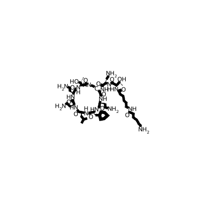 CC(C)C[C@@H]1NC(=O)[C@@H](Cc2ccccc2)NC(=O)[C@H](CCN)NC(=O)[C@@H](NC(=O)[C@H](CCN)NC(=O)[C@@H](NC(=O)CCCCCNC(=O)CCCCCN)[C@@H](C)O)CCNC(=O)[C@H]([C@@H](C)O)NC(=O)[C@H](CCN)NC(=O)[C@H](CCN)NC1=O